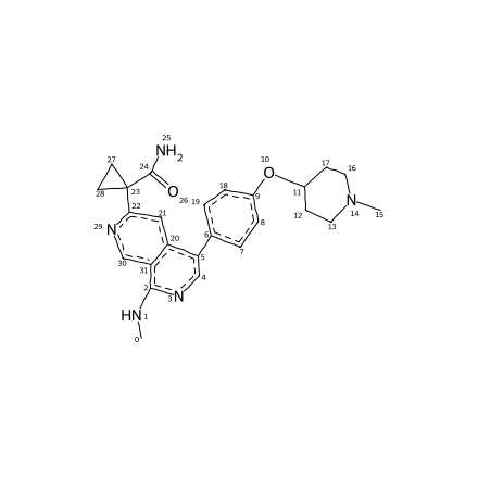 CNc1ncc(-c2ccc(OC3CCN(C)CC3)cc2)c2cc(C3(C(N)=O)CC3)ncc12